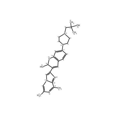 Cc1cn2cc(C3=Cc4ccc(N5CCN(CC(C)(C)O)CC5)cc4OC3O)nc2c(C)n1